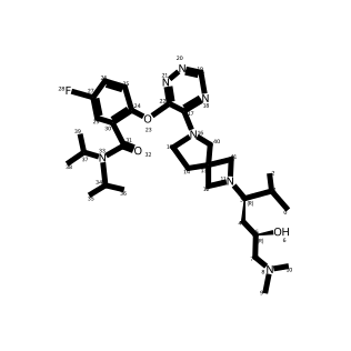 CC(C)[C@@H](C[C@@H](O)CN(C)C)N1CC2(CCN(c3ncnnc3Oc3ccc(F)cc3C(=O)N(C(C)C)C(C)C)C2)C1